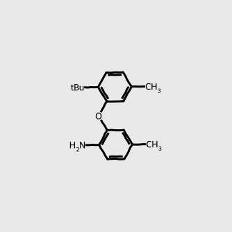 Cc1ccc(N)c(Oc2cc(C)ccc2C(C)(C)C)c1